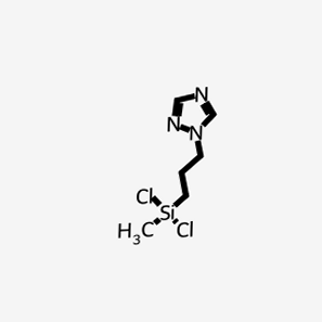 C[Si](Cl)(Cl)CCCn1cncn1